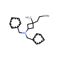 COCCC1(C(=O)O)CC(N(Cc2ccccc2)Cc2ccccc2)C1